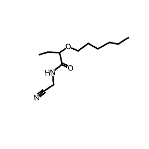 CCCCCCOC(CC)C(=O)NCC#N